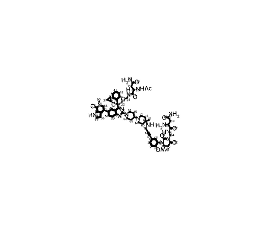 COc1ccc(C#CCNC2(C)CCN(C3CCN(c4nc([C@@](COCNC(=O)[C@H](CC(N)=O)NC(C)=O)(OC5CC5)c5ccccc5)c5cc(-c6cn(C)c(=O)c7[nH]ccc67)ccc5n4)CC3)CC2)cc1N1CCC(=O)N(CNC(=O)[C@@H](N)CC(N)=O)C1=O